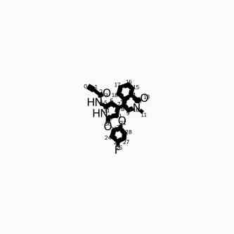 C#CC(=O)Nc1cc(-c2cn(C)c(=O)c3ccccc23)c(Oc2ccc(F)cc2)c(=O)[nH]1